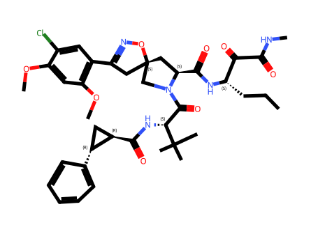 CCC[C@H](NC(=O)[C@@H]1C[C@]2(CC(c3cc(Cl)c(OC)cc3OC)=NO2)CN1C(=O)[C@@H](NC(=O)[C@@H]1C[C@H]1c1ccccc1)C(C)(C)C)C(=O)C(=O)NC